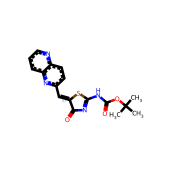 CC(C)(C)OC(=O)NC1=NC(=O)/C(=C/c2ccc3ncccc3n2)S1